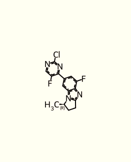 C[C@@H]1CCc2nc3c(F)cc(-c4nc(Cl)ncc4F)cc3n21